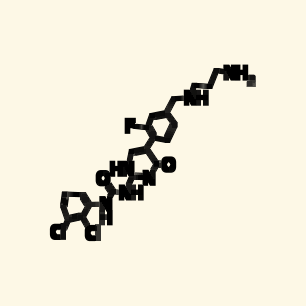 NCCCNCc1ccc(-c2c[nH]c(NC(=O)Nc3cccc(Cl)c3Cl)nc2=O)c(F)c1